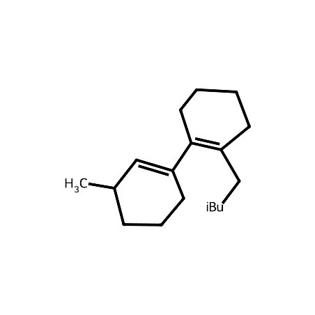 CCC(C)CC1=C(C2=CC(C)CCC2)CCCC1